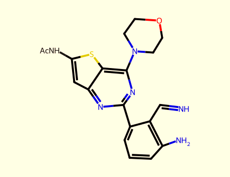 CC(=O)Nc1cc2nc(-c3cccc(N)c3C=N)nc(N3CCOCC3)c2s1